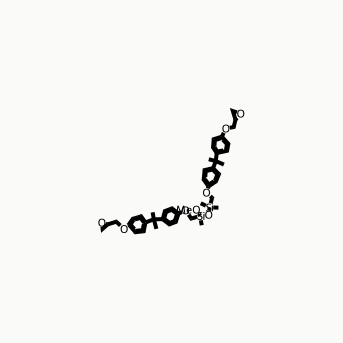 CO[Si](C)(COc1ccc(C(C)(C)c2ccc(OCC3CO3)cc2)cc1)O[Si](C)(C)COc1ccc(C(C)(C)c2ccc(OCC3CO3)cc2)cc1